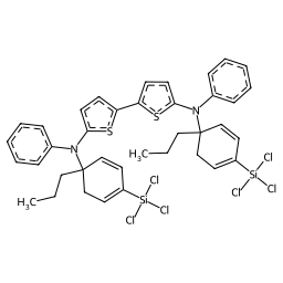 CCCC1(N(c2ccccc2)c2ccc(-c3ccc(N(c4ccccc4)C4(CCC)C=CC([Si](Cl)(Cl)Cl)=CC4)s3)s2)C=CC([Si](Cl)(Cl)Cl)=CC1